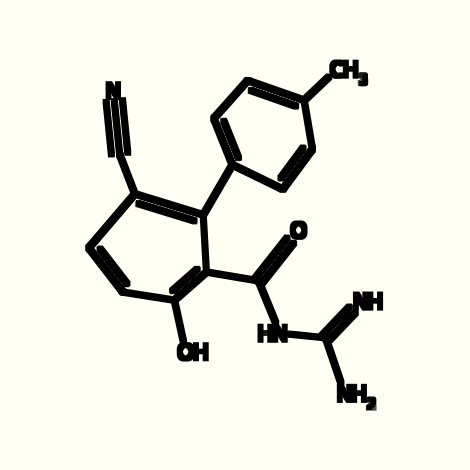 Cc1ccc(-c2c(C#N)ccc(O)c2C(=O)NC(=N)N)cc1